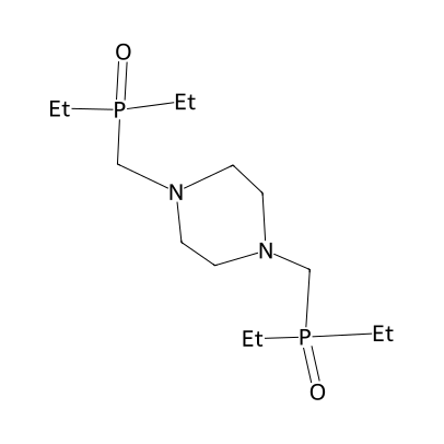 CCP(=O)(CC)CN1CCN(CP(=O)(CC)CC)CC1